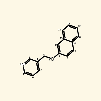 c1cncc(COc2ccc3ccccc3c2)c1